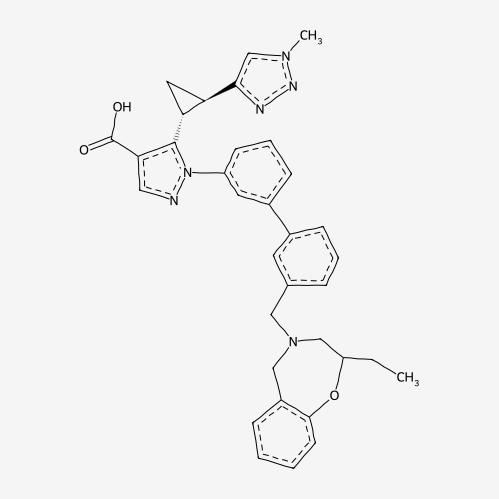 CCC1CN(Cc2cccc(-c3cccc(-n4ncc(C(=O)O)c4[C@@H]4C[C@H]4c4cn(C)nn4)c3)c2)Cc2ccccc2O1